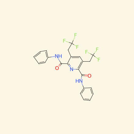 O=C(Nc1ccccc1)c1nc(C(=O)Nc2ccccc2)c(CC(F)(F)F)cc1CC(F)(F)F